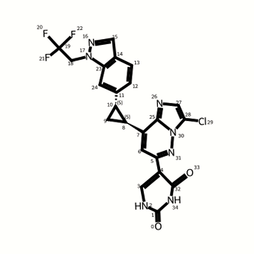 O=c1[nH]cc(-c2cc([C@H]3C[C@@H]3c3ccc4cnn(CC(F)(F)F)c4c3)c3ncc(Cl)n3n2)c(=O)[nH]1